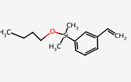 C=Cc1cccc([Si](C)(C)OCCCC)c1